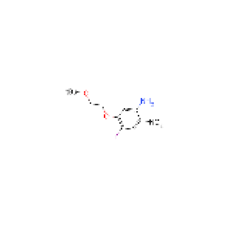 CC(C)(C)OCCOc1cc(N)c([N+](=O)[O-])cc1I